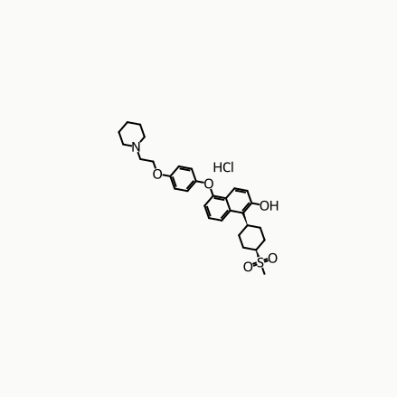 CS(=O)(=O)[C@H]1CC[C@@H](c2c(O)ccc3c(Oc4ccc(OCCN5CCCCC5)cc4)cccc32)CC1.Cl